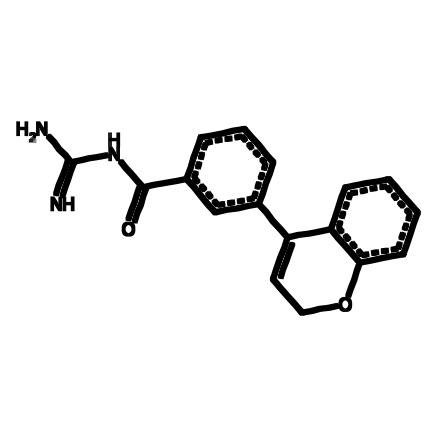 N=C(N)NC(=O)c1cccc(C2=CCOc3ccccc32)c1